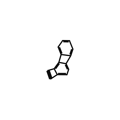 c1c2ccc3c4ccccc4c3c2c#1